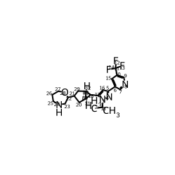 CC(C)n1nc(-c2cncc(C(F)(F)F)c2)cc1C1[C@H]2CC(C3CNCCCO3)C[C@@H]12